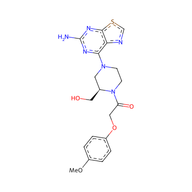 COc1ccc(OCC(=O)N2CCN(c3nc(N)nc4scnc34)C[C@@H]2CO)cc1